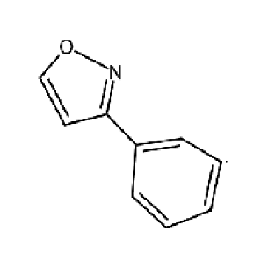 [c]1cccc(-c2ccon2)c1